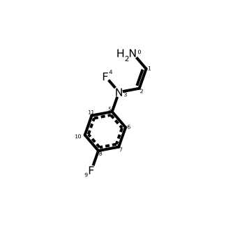 N/C=C\N(F)c1ccc(F)cc1